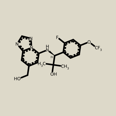 CC(C)(O)[C@@H](Nc1cc(CO)cc2ncnn12)c1ccc(OC(F)(F)F)cc1F